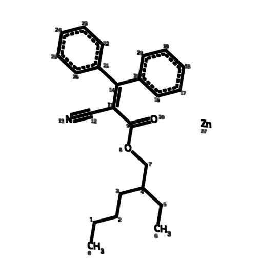 CCCCC(CC)COC(=O)C(C#N)=C(c1ccccc1)c1ccccc1.[Zn]